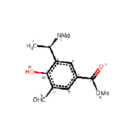 CN[C@H](C)c1cc(C(=O)OC)cc(C=O)c1O